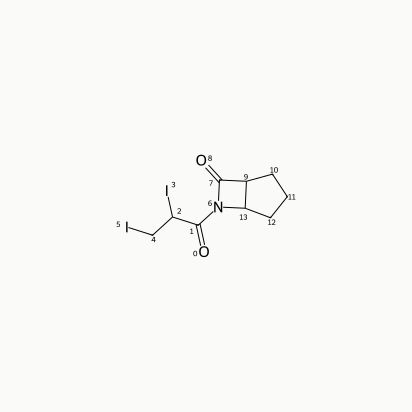 O=C(C(I)CI)N1C(=O)C2CCCC21